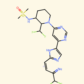 C[SH](C)(=O)NC1CCCN(c2cc(-c3cnc(/C=C\C(=N)C(F)F)[nH]3)ncn2)C1C(F)F